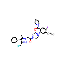 COc1cc(N2CCN(C(=O)Cn3nc(CF)c(-c4ccccc4)c3C)CC2)c(C(=O)N2CCCC2)cc1I